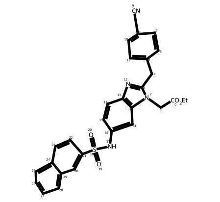 CCOC(=O)Cn1c(Cc2ccc(C#N)cc2)nc2ccc(NS(=O)(=O)c3ccc4ccccc4c3)cc21